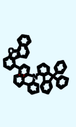 c1ccc(-c2ccccc2N(c2ccc(-c3cccc4oc5c6ccccc6ccc5c34)cc2)c2cccc3c2-c2ccccc2C3(c2ccccc2)c2ccccc2)cc1